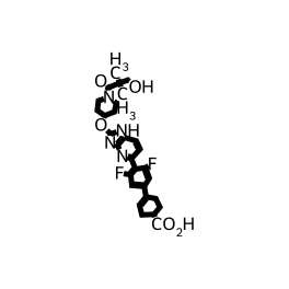 CC(C)(CO)C(=O)N1CCC(Oc2nc3nc(-c4c(F)cc(C5=CCC(C(=O)O)CC5)cc4F)ccc3[nH]2)CC1